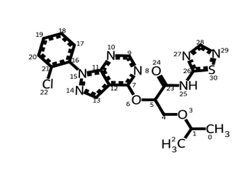 CC(C)OCC(Oc1ncnc2c1cnn2-c1ccccc1Cl)C(=O)Nc1ncns1